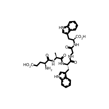 C[C@H](NC(=O)[C@@H](N)CCC(=O)O)C(=O)N[C@@H](Cc1c[nH]c2ccccc12)C(=O)NCC(=O)N[C@@H](Cc1c[nH]c2ccccc12)C(=O)O